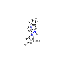 COCCN(Cc1ccc(C#N)cc1)c1c2c(nn1C)N(c1c(C)cc(C)cc1C)CCC2